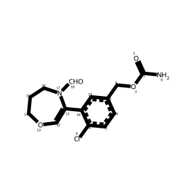 NC(=O)OCc1ccc(Cl)c(C2=COCCCN2C=O)c1